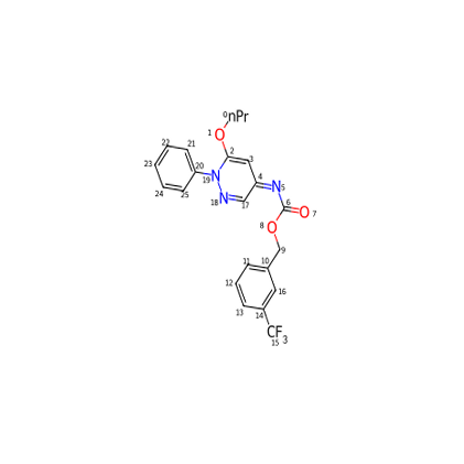 CCCOc1cc(=NC(=O)OCc2cccc(C(F)(F)F)c2)cnn1-c1ccccc1